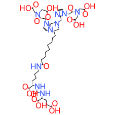 O=C(O)CC[C@H](NC(=O)N[C@@H](CCCCNC(=O)CCCCCCCCCCN(Cc1nccn1CC(=O)N(CC(=O)O)CC(=O)O)Cc1nccn1CC(=O)N(CC(=O)O)CC(=O)O)C(=O)O)C(=O)O